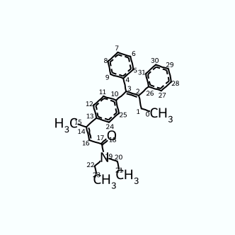 CCC(=C(c1ccccc1)c1ccc(/C(C)=C\C(=O)N(CC)CC)cc1)c1ccccc1